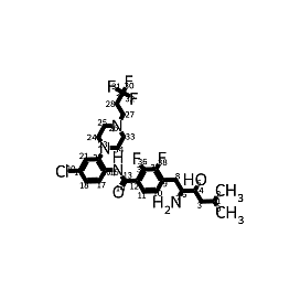 CC(C)CC(O)C(N)Cc1ccc(C(=O)Nc2ccc(Cl)cc2N2CCN(CCC(F)(F)F)CC2)c(F)c1F